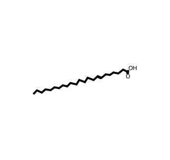 CCCCCCCCCCCCCCCC=CCCCCCC(=O)O